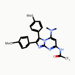 COc1ccc(-c2nc3nc(NC(=O)C(F)(F)F)cc(N(C)C)n3c2-c2ccc(SC)cc2)cc1